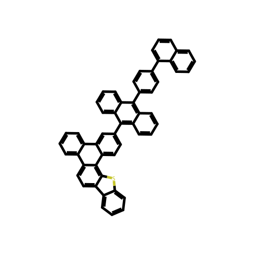 c1ccc2c(-c3ccc(-c4c5ccccc5c(-c5ccc6c(c5)c5ccccc5c5ccc7c8ccccc8sc7c56)c5ccccc45)cc3)cccc2c1